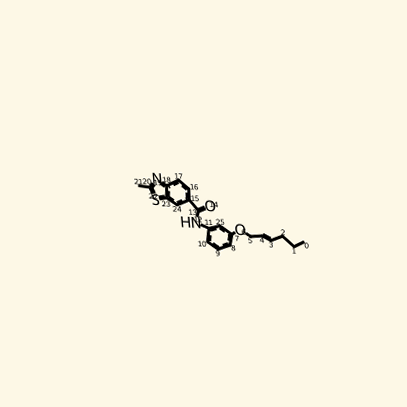 CCCC=CCOc1cccc(NC(=O)c2ccc3nc(C)sc3c2)c1